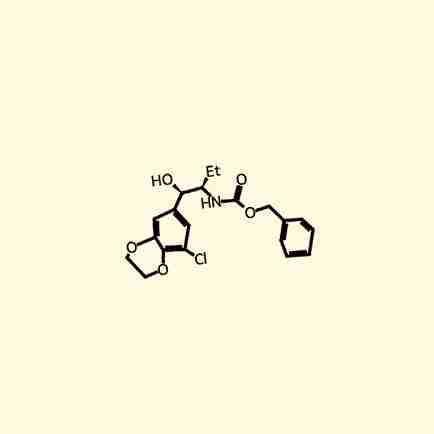 CC[C@@H](NC(=O)OCc1ccccc1)[C@H](O)c1cc(Cl)c2c(c1)OCCO2